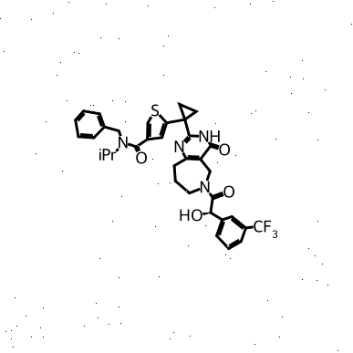 CC(C)N(Cc1ccccc1)C(=O)c1csc(C2(c3nc4c(c(=O)[nH]3)CN(C(=O)[C@H](O)c3cccc(C(F)(F)F)c3)CCC4)CC2)c1